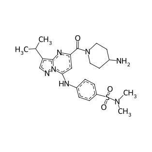 CC(C)c1cnn2c(Nc3ccc(S(=O)(=O)N(C)C)cc3)cc(C(=O)N3CCC(N)CC3)nc12